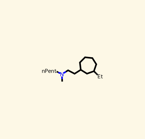 [CH2]CC1CCCCC(CCN(C)CCCCC)C1